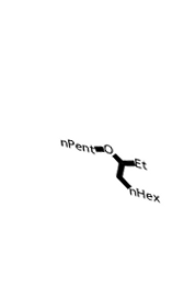 [CH2]CCCCOC(CC)CCCCCCC